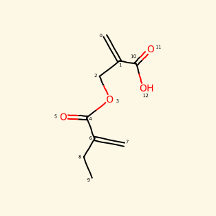 C=C(COC(=O)C(=C)CC)C(=O)O